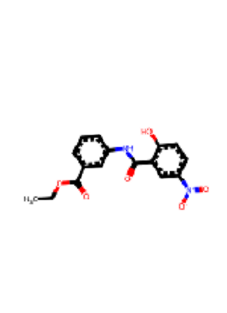 CCOC(=O)c1cccc(NC(=O)c2cc([N+](=O)[O-])ccc2O)c1